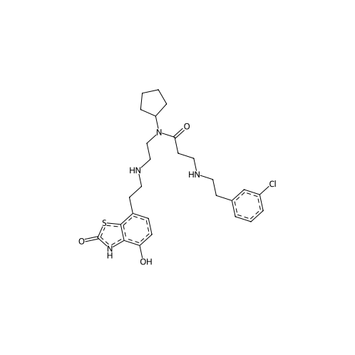 O=C(CCNCCc1cccc(Cl)c1)N(CCNCCc1ccc(O)c2[nH]c(=O)sc12)C1CCCC1